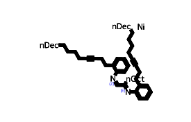 CCCCCCCCCCCCCCC#CCCc1ccccc1/N=C\C(CCCCCCCC)=N\c1ccccc1CCC#CCCCCCCCCCCCCCC.[Ni]